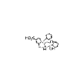 O=C(O)c1ccc2c(c1)CC[C@@H]1C[C@@](O)(c3ccccc3)C(=O)C[C@@]21Cc1ccccc1